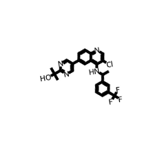 CC(Nc1c(Cl)cnc2ccc(-c3cnc(C(C)(C)O)nc3)cc12)c1cccc(C(F)(F)F)c1